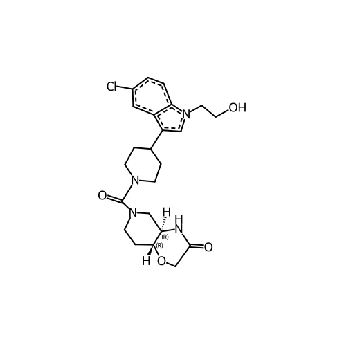 O=C1CO[C@@H]2CCN(C(=O)N3CCC(c4cn(CCO)c5ccc(Cl)cc45)CC3)C[C@H]2N1